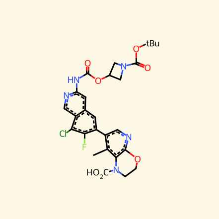 Cc1c(-c2cc3cc(NC(=O)OC4CN(C(=O)OC(C)(C)C)C4)ncc3c(Cl)c2F)cnc2c1N(C(=O)O)CCO2